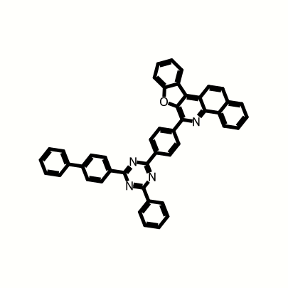 c1ccc(-c2ccc(-c3nc(-c4ccccc4)nc(-c4ccc(-c5nc6c7ccccc7ccc6c6c5oc5ccccc56)cc4)n3)cc2)cc1